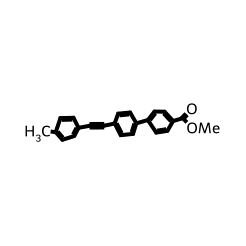 COC(=O)c1ccc(-c2ccc(C#Cc3ccc(C)cc3)cc2)cc1